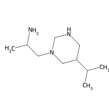 CC(N)CN1CNCC(C(C)C)C1